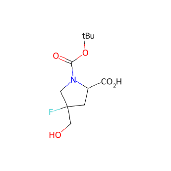 CC(C)(C)OC(=O)N1CC(F)(CO)CC1C(=O)O